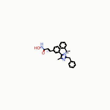 Cc1nc(Cc2ccccc2)n([C@H](C)c2ccccc2)c1-c1cccc(/C=C/C(=O)NO)c1